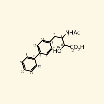 CC(=O)NC(Cc1ccc(-c2ccccc2)cc1)C(O)C(=O)O